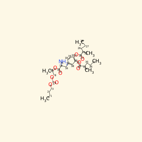 CCCCOC(=O)OC[C@H](C)OC(=O)[C@@H](N)Cc1ccc(OC(=O)C(C)CCC)c(OC(=O)C(C)CCC)c1